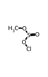 COS(=O)OCl